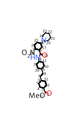 COC(=O)c1ccc(/C=C/c2ccc(NC(=O)c3cc(N4CCCCC4)ccc3[N+](=O)[O-])cc2)cc1